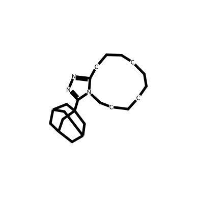 C1CCCCCn2c(nnc2C23CC4CC(CC(C4)C2)C3)CCCC1